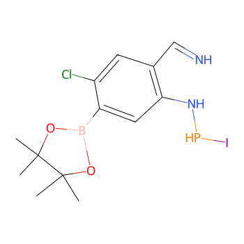 CC1(C)OB(c2cc(NPI)c(C=N)cc2Cl)OC1(C)C